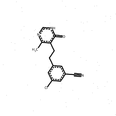 Cc1nc[nH]c(=O)c1CCc1cc(Cl)cc(C#N)c1